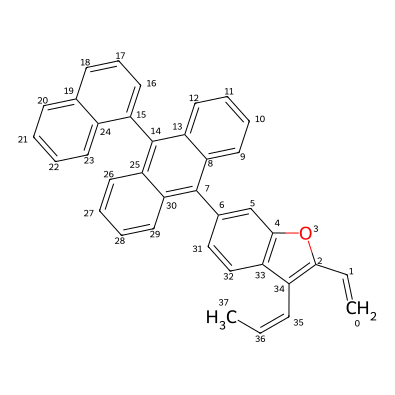 C=Cc1oc2cc(-c3c4ccccc4c(-c4cccc5ccccc45)c4ccccc34)ccc2c1/C=C\C